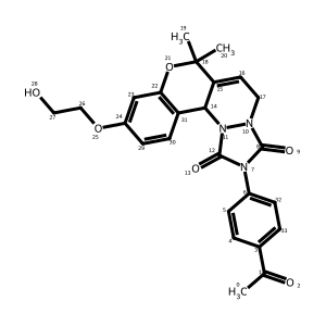 CC(=O)c1ccc(-n2c(=O)n3n(c2=O)C2C(=CC3)C(C)(C)Oc3cc(OCCO)ccc32)cc1